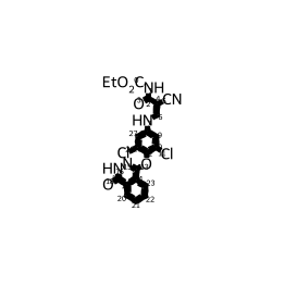 CCOC(=O)NC(=O)/C(C#N)=C\Nc1cc(Cl)c(Oc2n[nH]c(=O)c3ccccc23)c(Cl)c1